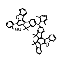 Cc1cccc(C)c1C(c1ccc2c(c1)C(C)(C)c1cc(-c3ccccc3C(C)(C)C)c3oc4ccccc4c3c1-2)c1ccc2c(c1)C(C)(C)c1c3c(c4oc5ccccc5c4c1-2)-c1ccccc1C3(C)C